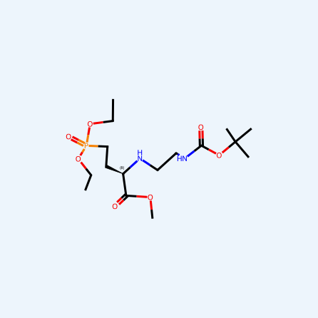 CCOP(=O)(CC[C@@H](NCCNC(=O)OC(C)(C)C)C(=O)OC)OCC